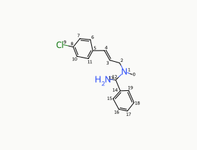 CN(CC=Cc1ccc(Cl)cc1)C(N)c1ccccc1